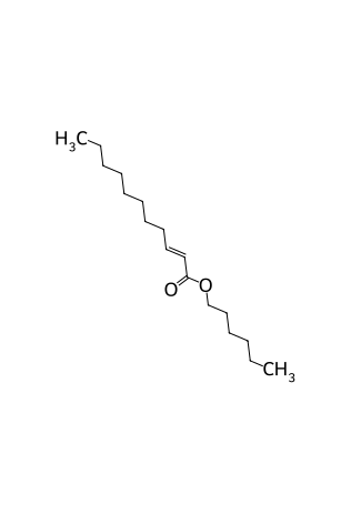 CCCCCCCCC=CC(=O)OCCCCCC